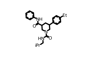 CCc1ccc(C2CC(C(=O)Nc3ccccc3)CN(C(=O)NCC(C)C)C2)cc1